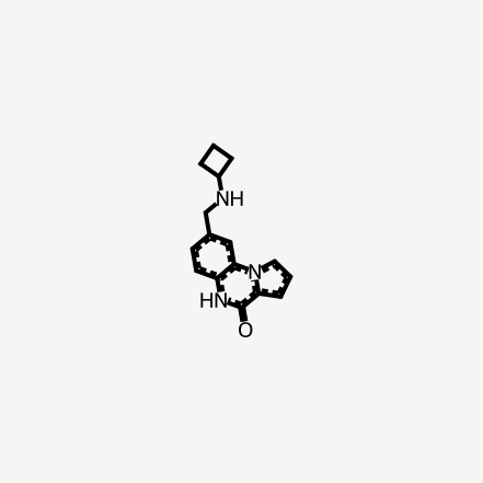 O=c1[nH]c2ccc(CNC3CCC3)cc2n2cccc12